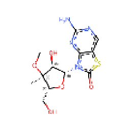 CO[C@]1(C)[C@@H](CO)O[C@@H](n2c(=O)sc3cnc(N)nc32)[C@@H]1O